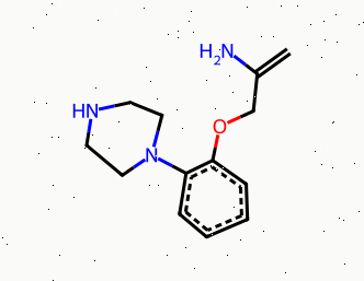 C=C(N)COc1ccccc1N1CCNCC1